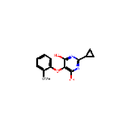 COc1ccccc1Oc1c(O)nc(C2CC2)nc1O